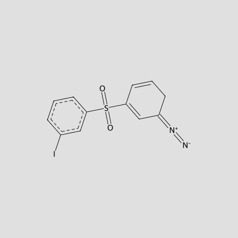 [N-]=[N+]=C1C=C(S(=O)(=O)c2cccc(I)c2)C=CC1